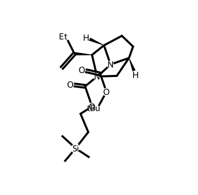 C=C(CC)[C@H]1[C@@H]2CC[C@H](CN1C(=O)OCC[Si](C)(C)C)N2C(=O)OC(C)(C)C